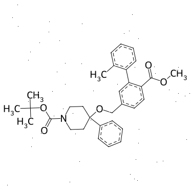 COC(=O)c1ccc(COC2(c3ccccc3)CCN(C(=O)OC(C)(C)C)CC2)cc1-c1ccccc1C